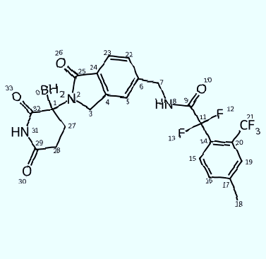 BC1(N2Cc3cc(CNC(=O)C(F)(F)c4ccc(C)cc4C(F)(F)F)ccc3C2=O)CCC(=O)NC1=O